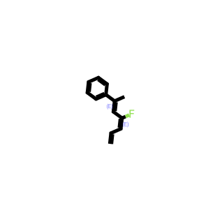 C=C/C=C(F)\C=C(/C)c1ccccc1